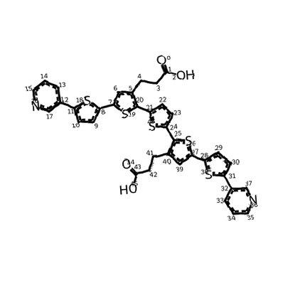 O=C(O)CCc1cc(-c2ccc(-c3cccnc3)s2)sc1-c1ccc(-c2sc(-c3ccc(-c4cccnc4)s3)cc2CCC(=O)O)s1